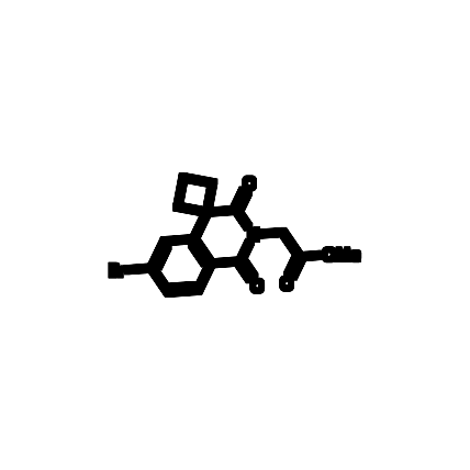 COC(=O)CN1C(=O)c2ccc(Br)cc2C2(CCC2)C1=O